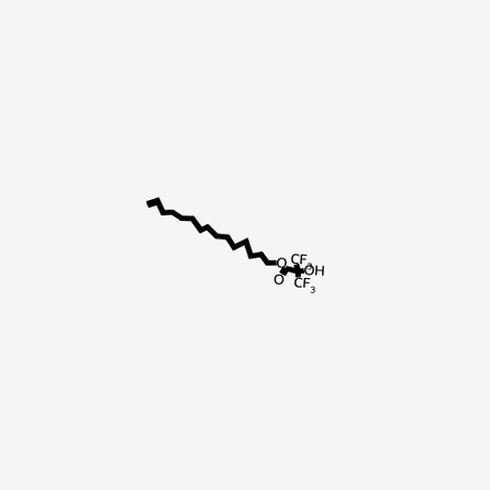 C=CCCCCCCCCCCCCCOC(=O)C(O)(C(F)(F)F)C(F)(F)F